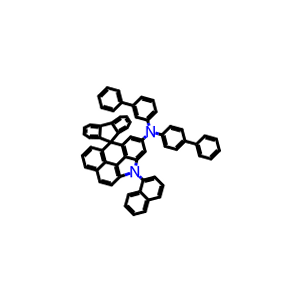 c1ccc(-c2ccc(N(c3cccc(-c4ccccc4)c3)c3cc4c5c6c7c(cccc7ccc6n(-c6cccc7ccccc67)c5c3)C43c4ccccc4-c4ccccc43)cc2)cc1